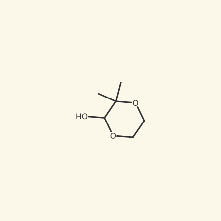 CC1(C)OCCOC1O